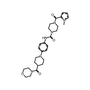 Cn1cccc1C(=O)N1CCN(C(=O)Nc2ccc(N3CCC(C(=O)N4CCOCC4)CC3)cc2)CC1